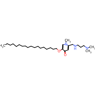 CCCCCCCCCCCCCCCCCCOc1cn(C)c(CNCCCN(C)C)cc1=O